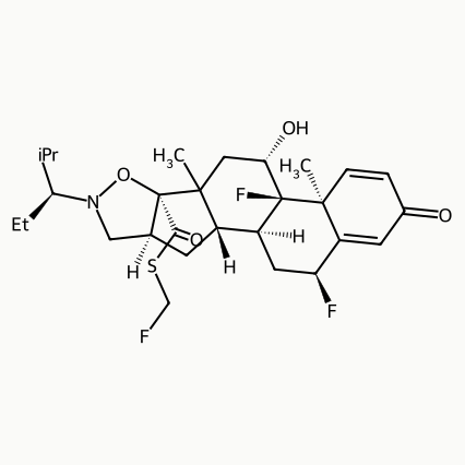 CC[C@@H](C(C)C)N1C[C@@H]2C[C@H]3[C@@H]4C[C@H](F)C5=CC(=O)C=C[C@]5(C)[C@@]4(F)[C@@H](O)CC3(C)[C@]2(C(=O)SCF)O1